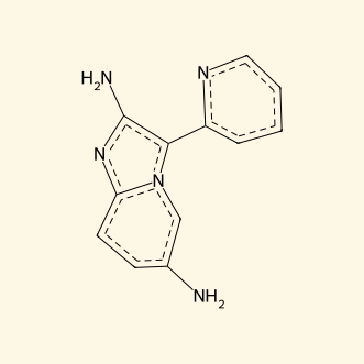 Nc1ccc2nc(N)c(-c3ccccn3)n2c1